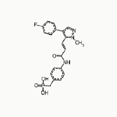 Cn1ncc(-c2ccc(F)cc2)c1C=CC(=O)Nc1ccc(CP(=O)(O)O)cc1